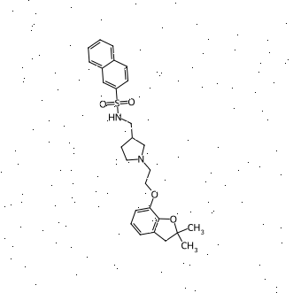 CC1(C)Cc2cccc(OCCN3CCC(CNS(=O)(=O)c4ccc5ccccc5c4)C3)c2O1